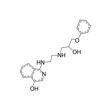 Oc1cnc(NCCNCC(O)COc2ccccc2)c2ccccc12